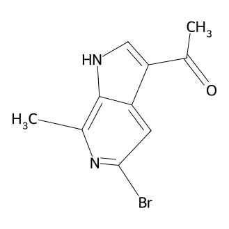 CC(=O)c1c[nH]c2c(C)nc(Br)cc12